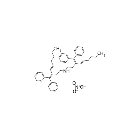 CCCCC=CC(CCNCCC(C=CCCCC)=C(c1ccccc1)c1ccccc1)=C(c1ccccc1)c1ccccc1.O=[N+]([O-])O